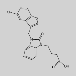 O=C(O)CCCn1c(=O)n(Cc2csc3ccc(Cl)cc23)c2ccccc21